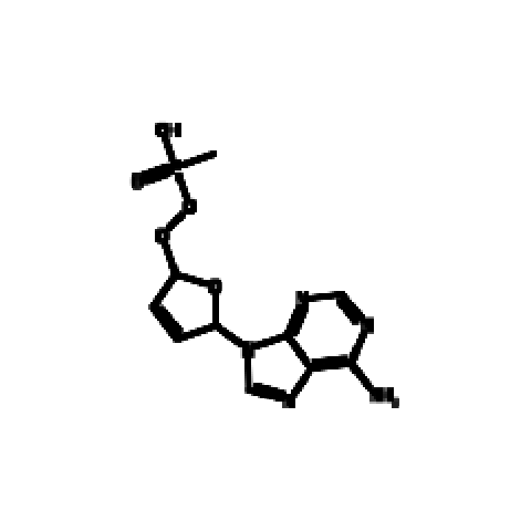 CP(=O)(O)OOC1C=CC(n2cnc3c(N)ncnc32)O1